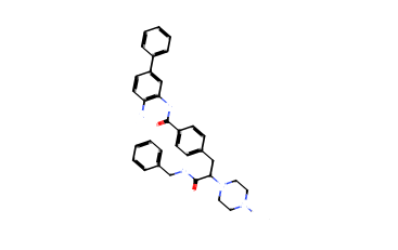 CN1CCN(C(Cc2ccc(C(=O)Nc3cc(-c4ccccc4)ccc3N)cc2)C(=O)NCc2ccccc2)CC1